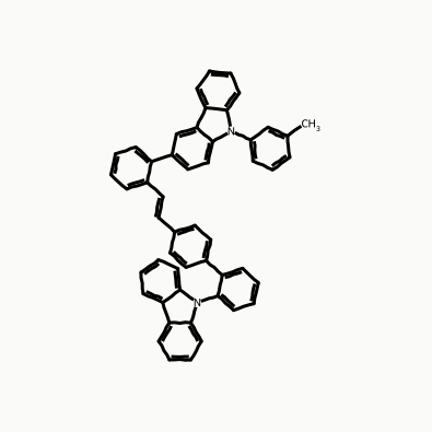 Cc1cccc(-n2c3ccccc3c3cc(-c4ccccc4/C=C/c4ccc(-c5ccccc5-n5c6ccccc6c6ccccc65)cc4)ccc32)c1